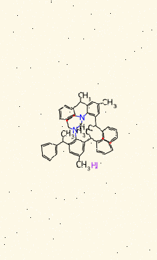 Cc1cc(C(C)c2ccccc2)c(N2CCCN(c3c(C(C)c4ccccc4)cc(C)cc3C(C)c3ccccc3)C2)c(C(C)c2ccccc2)c1.I